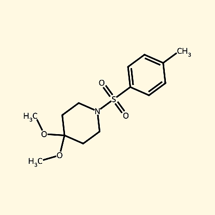 COC1(OC)CCN(S(=O)(=O)c2ccc(C)cc2)CC1